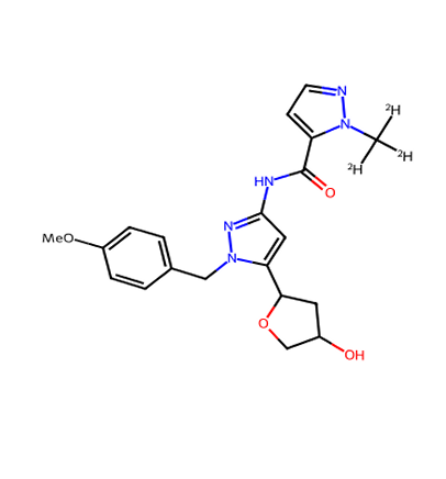 [2H]C([2H])([2H])n1nccc1C(=O)Nc1cc(C2CC(O)CO2)n(Cc2ccc(OC)cc2)n1